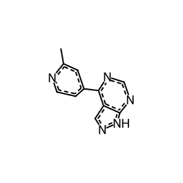 Cc1cc(-c2ncnc3[nH]ncc23)ccn1